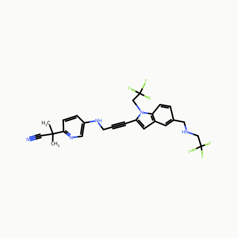 CC(C)(C#N)c1ccc(NCC#Cc2cc3cc(CNCC(F)(F)F)ccc3n2CC(F)(F)F)cn1